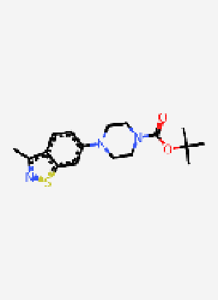 Cc1nsc2cc(N3CCN(C(=O)OC(C)(C)C)CC3)ccc12